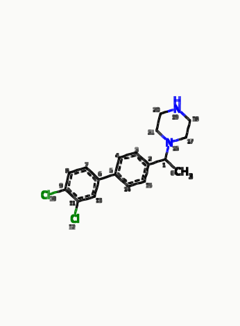 CC(c1ccc(-c2ccc(Cl)c(Cl)c2)cc1)N1CCNCC1